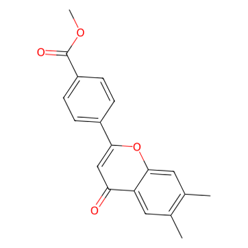 COC(=O)c1ccc(-c2cc(=O)c3cc(C)c(C)cc3o2)cc1